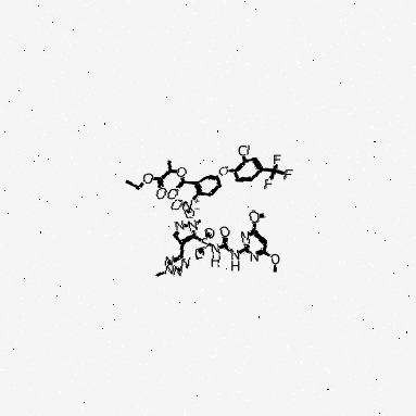 CCOC(=O)C(C)OC(=O)c1cc(Oc2ccc(C(F)(F)F)cc2Cl)ccc1[N+](=O)[O-].COc1cc(OC)nc(NC(=O)NS(=O)(=O)c2c(-c3nnn(C)n3)cnn2C)n1